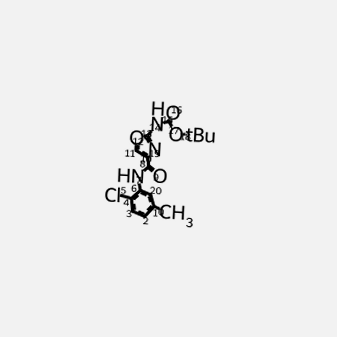 Cc1ccc(Cl)c(NC(=O)c2coc(NC(=O)OC(C)(C)C)n2)c1